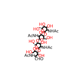 CC(=O)N[C@H]1[C@H](O[C@@H]([C@H](O)[C@H](C=O)NC(C)=O)[C@H](O)CO)O[C@H](CO)[C@@H](O[C@@H]2O[C@H](CO)[C@@H](O[C@@H]3O[C@H](CO)[C@@H](O)[C@H](O)[C@H]3NC(C)=O)[C@H](O)[C@H]2NC(C)=O)[C@@H]1O